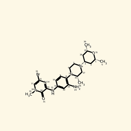 C[C@@H]1C[C@H](N2CCN(c3ccc(Nc4nc(Br)cn(C)c4=O)cc3N)[C@@H](C)C2)C[C@H](C)O1